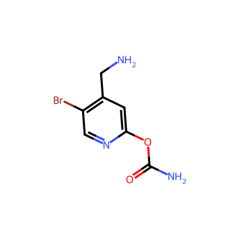 NCc1cc(OC(N)=O)ncc1Br